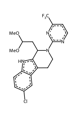 COC(CC1c2[nH]c3ccc(Cl)cc3c2CCN1c1nccc(C(F)(F)F)n1)OC